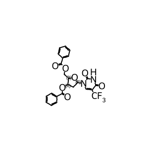 O=C(OC[C@H]1O[C@@H](n2cc(C(F)(F)F)c(=O)[nH]c2=O)C[C@H]1OC(=O)c1ccccc1)c1ccccc1